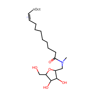 CCCCCCCC/C=C\CCCCCCCC(=O)N(C)CC1OC(CO)C(O)C1O